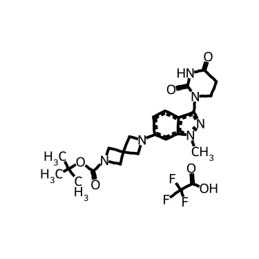 Cn1nc(N2CCC(=O)NC2=O)c2ccc(N3CC4(CN(C(=O)OC(C)(C)C)C4)C3)cc21.O=C(O)C(F)(F)F